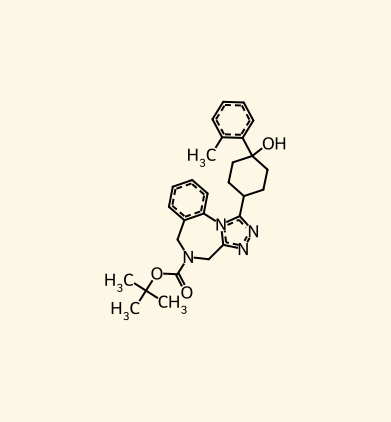 Cc1ccccc1C1(O)CCC(c2nnc3n2-c2ccccc2CN(C(=O)OC(C)(C)C)C3)CC1